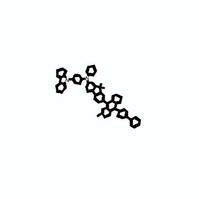 Cc1ccc2c(-c3ccc(-c4ccccc4)cc3)c3ccccc3c(-c3ccc4c(c3)C(C)(C)c3cc(N(c5ccccc5)c5ccc(-n6c7ccccc7c7ccccc76)cc5)ccc3-4)c2c1